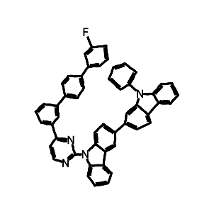 Fc1cccc(-c2ccc(-c3cccc(-c4ccnc(-n5c6ccccc6c6cc(-c7ccc8c9ccccc9n(-c9ccccc9)c8c7)ccc65)n4)c3)cc2)c1